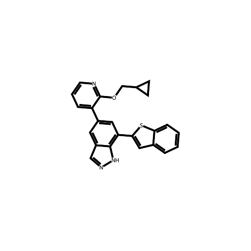 c1cnc(OCC2CC2)c(-c2cc(-c3cc4ccccc4s3)c3[nH]ncc3c2)c1